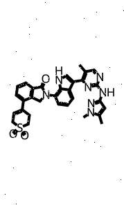 Cc1cnc(Nc2cc(C)n(C)n2)nc1-c1c[nH]c2c(N3Cc4c(cccc4C4=CCS(=O)(=O)CC4)C3=O)cccc12